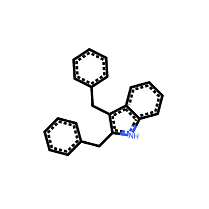 c1ccc(Cc2[nH]c3ccccc3c2Cc2ccccc2)cc1